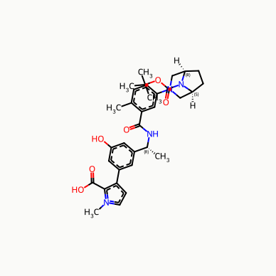 Cc1ccc(N2C[C@H]3CC[C@@H](C2)N3C(=O)OC(C)(C)C)cc1C(=O)N[C@H](C)c1cc(O)cc(-c2ccn(C)c2C(=O)O)c1